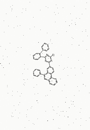 Clc1nc(-c2ccc3c(c2)c(-c2ccccc2)cc2ccccc23)nc(-c2ccccc2-c2ccccc2)n1